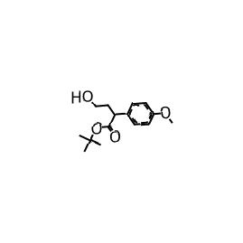 COc1ccc(C(CCO)C(=O)OC(C)(C)C)cc1